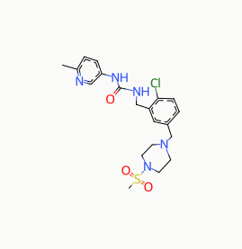 Cc1ccc(NC(=O)NCc2cc(CN3CCN(S(C)(=O)=O)CC3)ccc2Cl)cn1